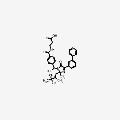 CC(c1ccc(C(=O)NCCC(=O)O)cc1)N1C(=O)C(c2cccc(-c3ccncc3)c2)=NC1(C)CC(C)C(C)(C)C